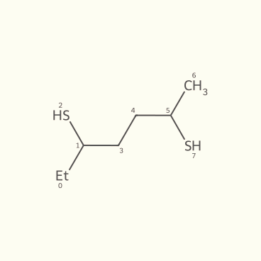 CCC(S)CCC(C)S